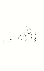 N#CC1CC(CCNC(=O)O)CCC1n1cc(C(N)=O)c(Nc2ccc(F)cc2)n1